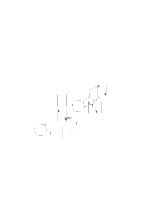 O=C(NCCc1ccccc1Cl)c1ccc2c(c1)[nH]c1cnccc12